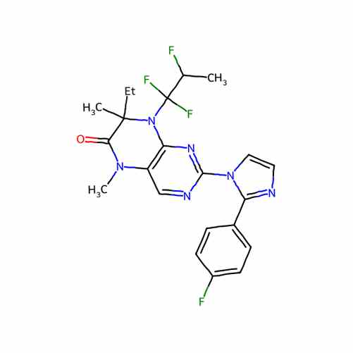 CCC1(C)C(=O)N(C)c2cnc(-n3ccnc3-c3ccc(F)cc3)nc2N1C(F)(F)C(C)F